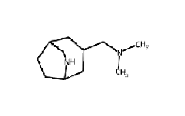 CN(C)CC1CC2CCC(C1)NC2